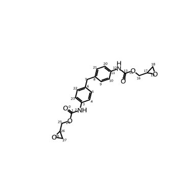 O=C(Nc1ccc(Cc2ccc(NC(=O)OCC3CO3)cc2)cc1)OCC1CO1